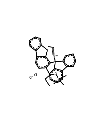 C[CH]=[Zr+2][C]1(c2c(C(CC)O[Si](C)(C)C)ccc3c2Cc2ccccc2-3)c2ccccc2-c2ccccc21.[Cl-].[Cl-]